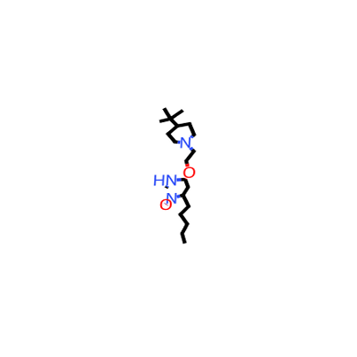 CCCCCC(CC(NC)OCCN1CCC(C(C)(C)C)CC1)N=O